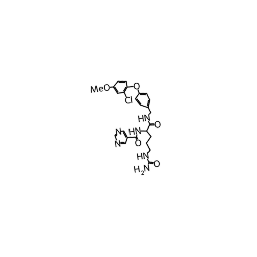 COc1ccc(Oc2ccc(CNC(=O)C(CCCNC(N)=O)NC(=O)c3cncnc3)cc2)c(Cl)c1